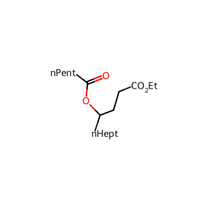 CCCCCCCC(CCC(=O)OCC)OC(=O)CCCCC